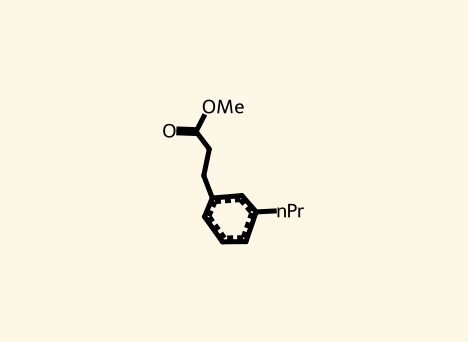 CCCc1cccc(CCC(=O)OC)c1